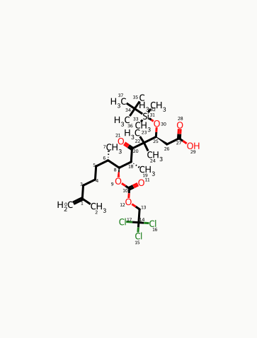 C=C(C)CCC[C@H](C)[C@H](OC(=O)OCC(Cl)(Cl)Cl)[C@@H](C)C(=O)C(C)(C)[C@H](CC(=O)O)O[Si](C)(C)C(C)(C)C